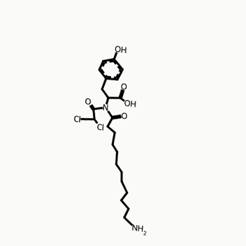 NCCCCCCCCCCCC(=O)N(C(=O)C(Cl)Cl)C(Cc1ccc(O)cc1)C(=O)O